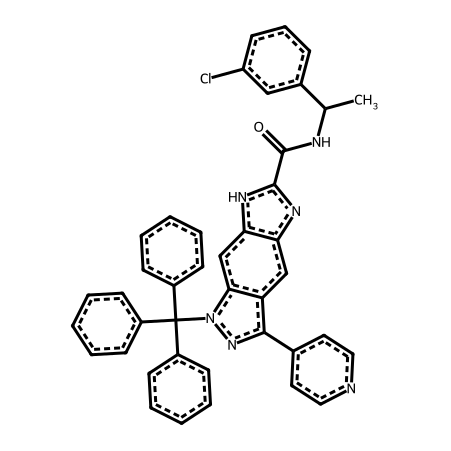 CC(NC(=O)c1nc2cc3c(-c4ccncc4)nn(C(c4ccccc4)(c4ccccc4)c4ccccc4)c3cc2[nH]1)c1cccc(Cl)c1